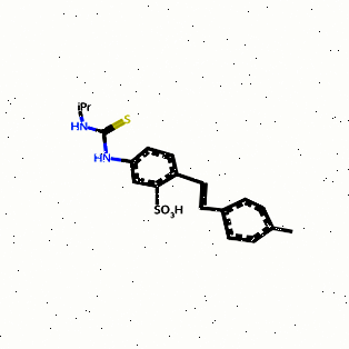 Cc1ccc(/C=C/c2ccc(NC(=S)NC(C)C)cc2S(=O)(=O)O)cc1